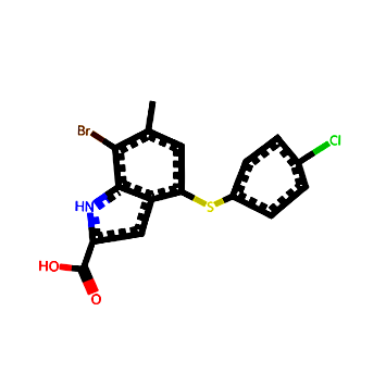 Cc1cc(Sc2ccc(Cl)cc2)c2cc(C(=O)O)[nH]c2c1Br